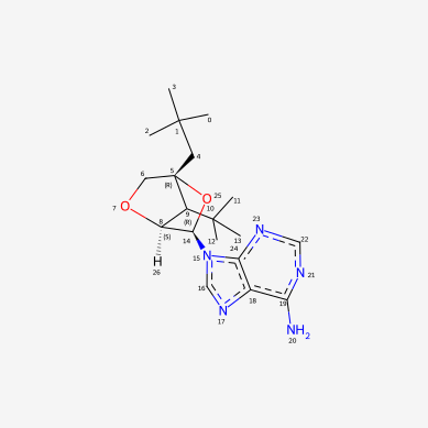 CC(C)(C)C[C@]12CO[C@@H](C1C(C)(C)C)[C@H](n1cnc3c(N)ncnc31)O2